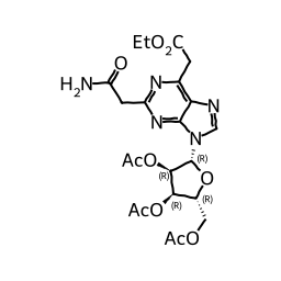 CCOC(=O)Cc1nc(CC(N)=O)nc2c1ncn2[C@@H]1O[C@H](COC(C)=O)[C@@H](OC(C)=O)[C@H]1OC(C)=O